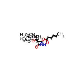 CCCCCC(=O)O[C@H]1NC(=O)[C@@H]1[C@@H](C)O[Si](C)(C)C(C)(C)C